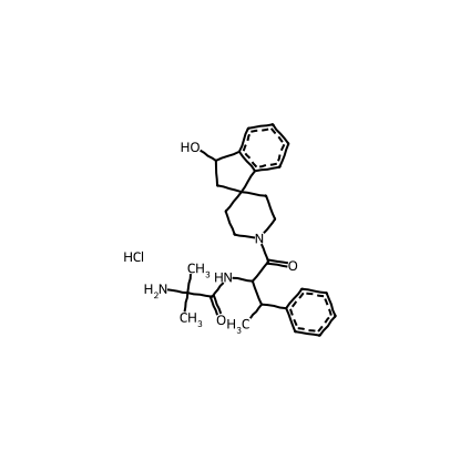 CC(c1ccccc1)C(NC(=O)C(C)(C)N)C(=O)N1CCC2(CC1)CC(O)c1ccccc12.Cl